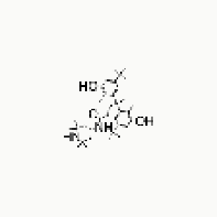 Cc1c(O)cc(C(C)(C)C)cc1C(C)(CCC(=O)NC1CC(C)(C)NC(C)(C)C1)c1cc(C(C)(C)C)cc(O)c1C